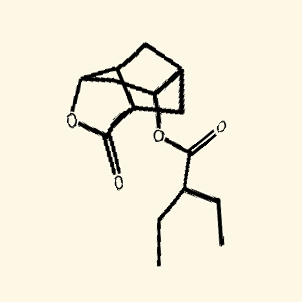 CCC(CC)C(=O)OC1C2CC3C(=O)OC1C3C2